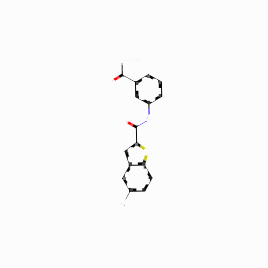 COC(=O)c1cccc(NC(=O)c2cc3cc([N+](=O)[O-])ccc3s2)c1